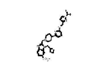 O=C(O)c1ccc2nc(CN3CCC(c4cccc(OCc5ccn(C(F)F)n5)n4)CC3)n(CC3CCO3)c2c1